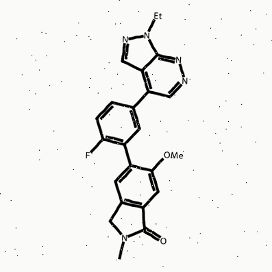 CCn1ncc2c(-c3ccc(F)c(-c4cc5c(cc4OC)C(=O)N(C)C5)c3)cnnc21